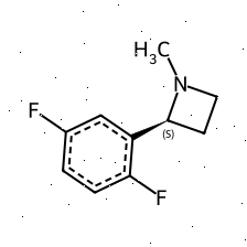 CN1CC[C@H]1c1cc(F)ccc1F